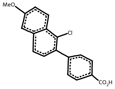 COc1ccc2c(Cl)c(-c3ccc(C(=O)O)cc3)ccc2c1